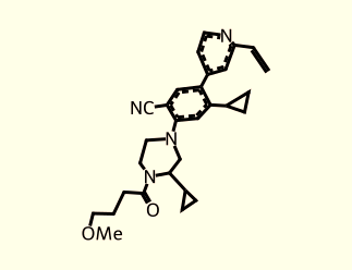 C=Cc1cc(-c2cc(C#N)c(N3CCN(C(=O)CCCOC)C(C4CC4)C3)cc2C2CC2)ccn1